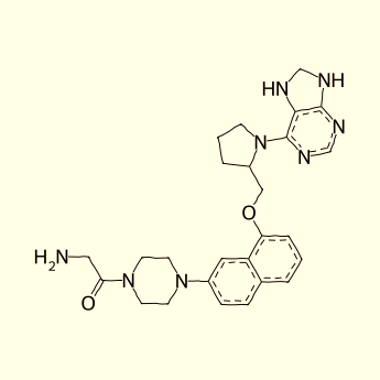 NCC(=O)N1CCN(c2ccc3cccc(OCC4CCCN4c4ncnc5c4NCN5)c3c2)CC1